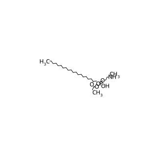 CCCCCCCCCCCCCCCCCCC(COP(O)OCCNC)OC(=O)CC